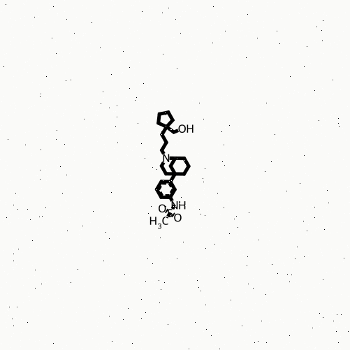 CS(=O)(=O)Nc1cccc(C23CCCC(C2)N(CCCC2(CO)CCCC2)CC3)c1